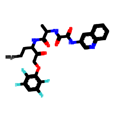 CC(NC(=O)C(=O)Nc1cnc2ccccc2c1)C(=O)NC(CCC(=O)O)C(=O)COc1c(F)c(F)cc(F)c1F